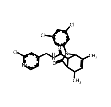 CC1=CC(C)C2C(=O)N(c3cc(Cl)cc(Cl)c3)C1C2C(=O)NCc1ccnc(Cl)c1